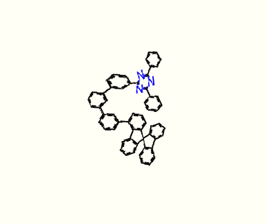 c1ccc(-c2nc(-c3ccccc3)nc(-c3cccc(-c4cccc(-c5cccc(-c6cccc7c6-c6ccccc6C76c7ccccc7-c7ccccc76)c5)c4)c3)n2)cc1